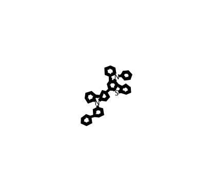 c1ccc(-c2cccc(-n3c4ccccc4c4cc(-c5cc6c7ccccc7n(-c7ccccc7)c6c6c5sc5ccccc56)ccc43)c2)cc1